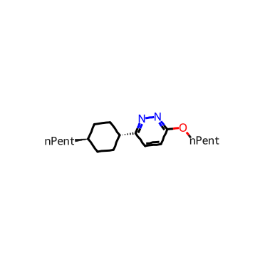 CCCCCOc1ccc([C@H]2CC[C@H](CCCCC)CC2)nn1